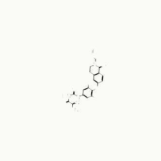 C=C1NC(=O)N(c2cc(Cl)c(Oc3ccc4c(c3)CCN(COC(C)C)C4=O)c(Cl)c2)N=C1C#N